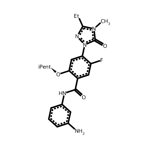 CCC[C@H](C)Oc1cc(-n2nc(CC)n(C)c2=O)c(F)cc1C(=O)Nc1cccc(N)c1